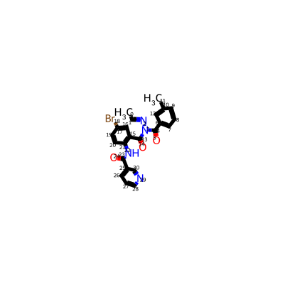 CC=NN(C(=O)c1cccc(C)c1)C(=O)c1cc(Br)ccc1NC(=O)c1cccnc1